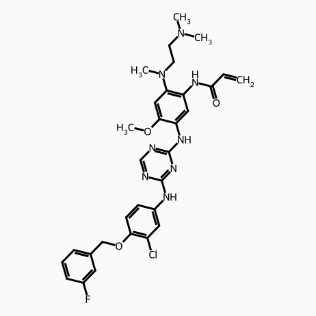 C=CC(=O)Nc1cc(Nc2ncnc(Nc3ccc(OCc4cccc(F)c4)c(Cl)c3)n2)c(OC)cc1N(C)CCN(C)C